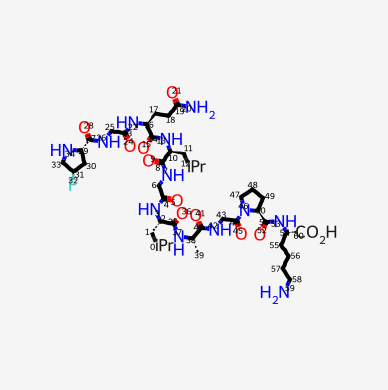 CC(C)C[C@H](NC(=O)CNC(=O)[C@H](CC(C)C)NC(=O)[C@H](CCC(N)=O)NC(=O)CNC(=O)[C@@H]1C[C@@H](F)CN1)C(=O)N[C@@H](C)C(=O)NCC(=O)N1CCC[C@H]1C(=O)N[C@@H](CCCCN)C(=O)O